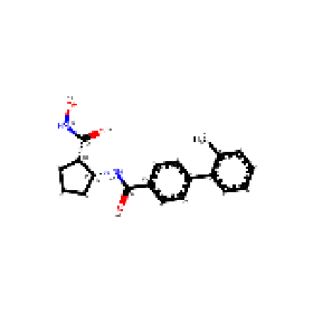 Cc1ccccc1-c1ccc(C(=O)N[C@@H]2CCC[C@@H]2C(=O)NO)cc1